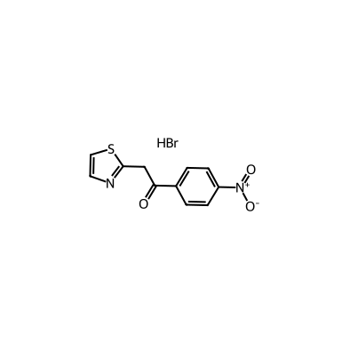 Br.O=C(Cc1nccs1)c1ccc([N+](=O)[O-])cc1